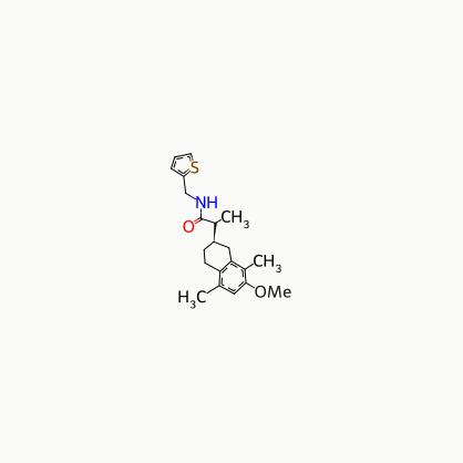 COc1cc(C)c2c(c1C)C[C@H](C(C)C(=O)NCc1cccs1)CC2